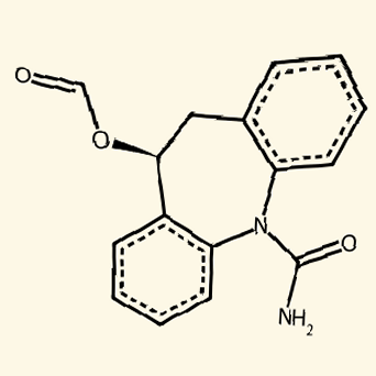 NC(=O)N1c2ccccc2C[C@H](OC=O)c2ccccc21